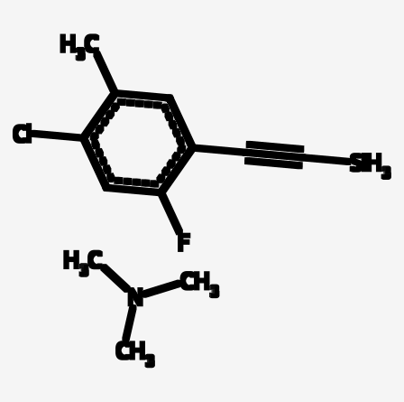 CN(C)C.Cc1cc(C#C[SiH3])c(F)cc1Cl